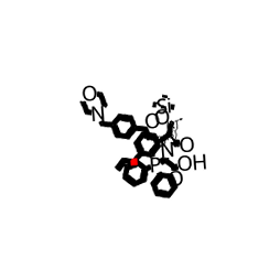 C=CCc1ccccc1P(=C(C(=O)O)N1C(=O)[C@H]([C@@H](C)O[Si](C)(C)C)[C@H]1CC(=O)c1ccc(CN2CCOCC2)cc1)(c1ccccc1)c1ccccc1